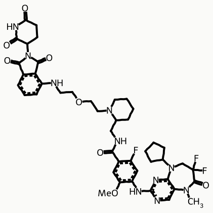 COc1cc(C(=O)NCC2CCCCN2CCOCCNc2cccc3c2C(=O)N(C2CCC(=O)NC2=O)C3=O)c(F)cc1Nc1ncc2c(n1)N(C1CCCC1)CC(F)(F)C(=O)N2C